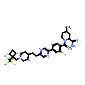 C=C(N)C1CC(C)CCN1C(=C)c1ccc(-c2cnc(CCC3CCN(CC4(C(F)(F)F)CCC4)CC3)cn2)cc1F